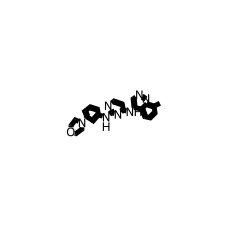 Cc1cccc2c(Nc3ccnc(Nc4cccc(N5CCOCC5)c4)n3)cnnc12